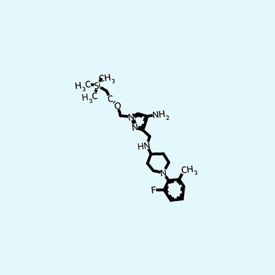 Cc1cccc(F)c1N1CCC(NCc2nn(COCC[Si](C)(C)C)cc2N)CC1